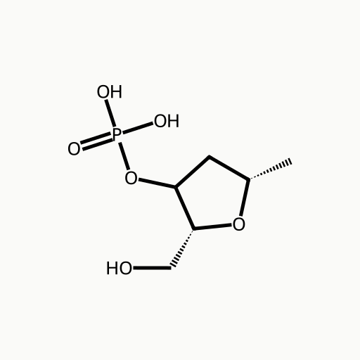 C[C@H]1CC(OP(=O)(O)O)[C@@H](CO)O1